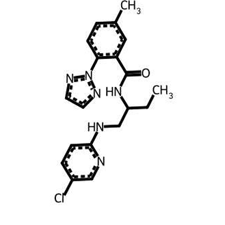 CCC(CNc1ccc(Cl)cn1)NC(=O)c1cc(C)ccc1-n1nccn1